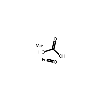 O=C(O)O.[Mn].[O]=[Fe]